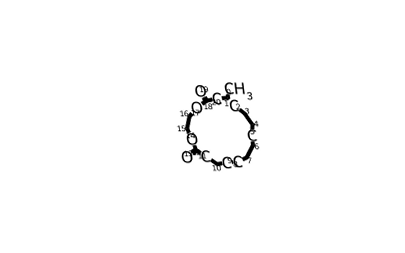 CC1CCCCCCCCCCC(=O)OCCOC(=O)C1